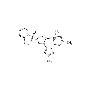 Cc1cc(-n2nc(C)cc2N2C[C@H](S(=O)(=O)c3ccccc3C(F)(F)F)C[C@H]2C(=O)O)cc(C)n1